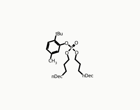 CCCCCCCCCCCCCOP(=O)(OCCCCCCCCCCCCC)Oc1cc(C)ccc1C(C)(C)C